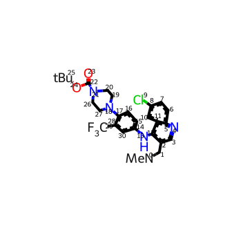 CNCc1cnc2ccc(Cl)cc2c1Nc1ccc(N2CCN(C(=O)OC(C)(C)C)CC2)c(C(F)(F)F)c1